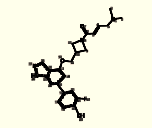 CN(C)C/C=C/C(=O)N1CC(COc2cc(-c3ccc(O)c(F)c3)cc3[nH]ncc23)C1